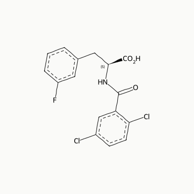 O=C(N[C@@H](Cc1cccc(F)c1)C(=O)O)c1cc(Cl)ccc1Cl